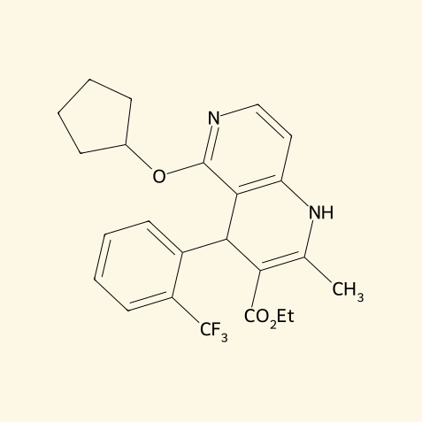 CCOC(=O)C1=C(C)Nc2ccnc(OC3CCCC3)c2C1c1ccccc1C(F)(F)F